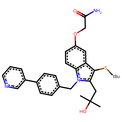 CC(C)(O)Cc1c(SC(C)(C)C)c2cc(OCC(N)=O)ccc2n1Cc1ccc(-c2cccnc2)cc1